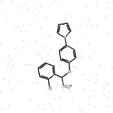 O=C(O)C(Oc1ccc(-n2cccc2)cc1)c1ccccc1Cl